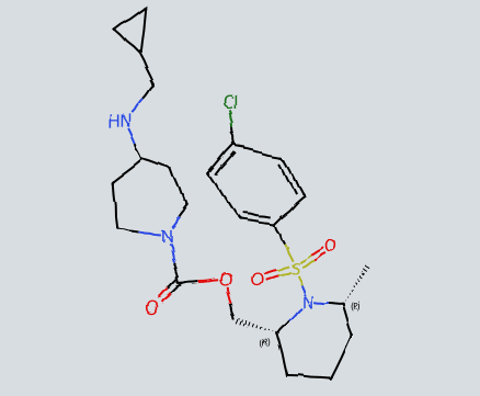 C[C@@H]1CCC[C@H](COC(=O)N2CCC(NCC3CC3)CC2)N1S(=O)(=O)c1ccc(Cl)cc1